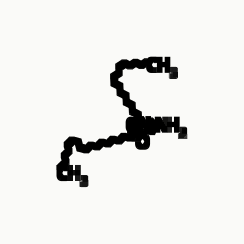 CCCCC/C=C\C/C=C\CCCCCCCCOC(=O)[C@@H]1C[C@@H](N)CN1C(=O)CCCCCCC/C=C\C/C=C\CCCCC